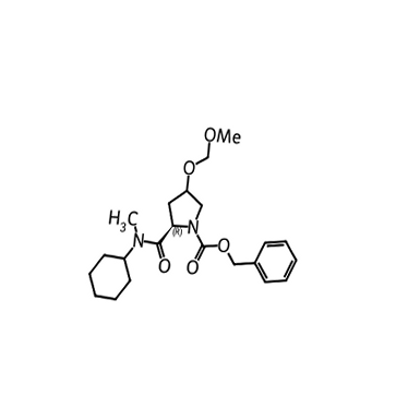 COCOC1C[C@H](C(=O)N(C)C2CCCCC2)N(C(=O)OCc2ccccc2)C1